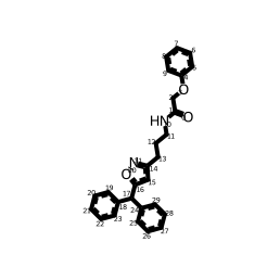 O=C(COc1ccccc1)NCCCc1cc(C(c2ccccc2)c2ccccc2)on1